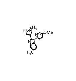 COc1ccc(-n2c(C3=CNN(C)C3)nc3cc(C(F)(F)F)ccc32)nn1